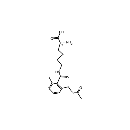 CC(=O)SCc1ccnc(C)c1C(=S)NCCCC[C@@H](N)C(=O)O